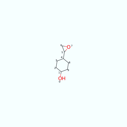 OC1CCC(C2CO2)CC1